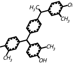 Cc1cc(C(C)c2ccc(C(c3ccc(O)c(C)c3)c3ccc(O)c(C)c3)cc2)ccc1O